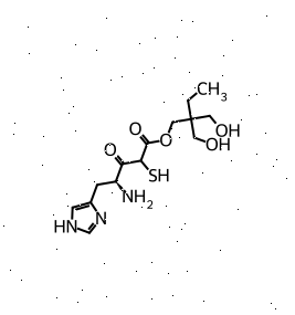 CCC(CO)(CO)COC(=O)C(S)C(=O)[C@@H](N)Cc1c[nH]cn1